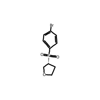 O=S(=O)(c1ccc(Br)cc1)[C@@H]1CCOC1